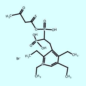 CCc1c[n+](CC)c(CC)c(CC(P(=O)(O)O)P(=O)(O)OC(=S)CC(C)=O)c1CC.[Br-]